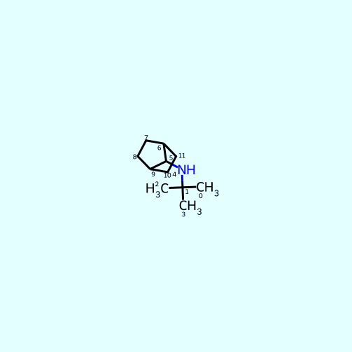 CC(C)(C)NC1C2CCC1CC2